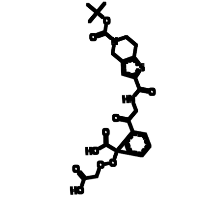 CC(C)(C)OC(=O)N1CCc2sc(C(=O)NCC(=O)c3cccc4c3C4(OOCC(=O)O)C(=O)O)cc2C1